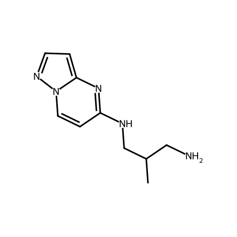 CC(CN)CNc1ccn2nccc2n1